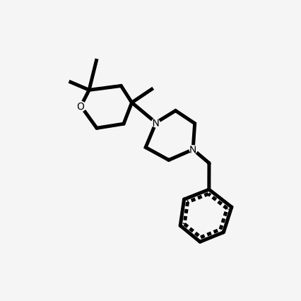 CC1(C)CC(C)(N2CCN(Cc3ccccc3)CC2)CCO1